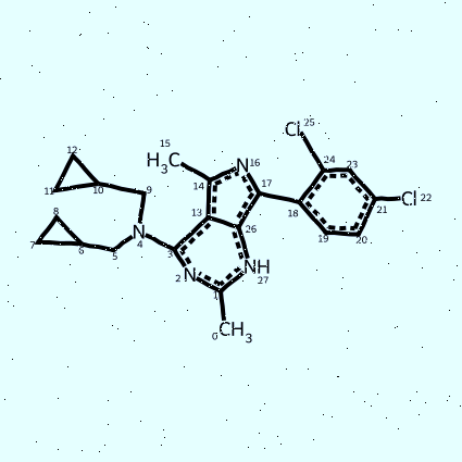 Cc1nc(N(CC2CC2)CC2CC2)c2c(C)nc(-c3ccc(Cl)cc3Cl)c-2[nH]1